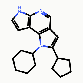 c1cc2c(ncc3cc(C4CCCC4)n(C4CCCCC4)c32)[nH]1